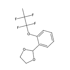 CC(F)(F)C(F)(F)Oc1ccccc1C1OCCO1